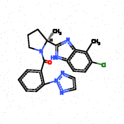 Cc1c(Cl)ccc2[nH]c([C@]3(C)CCCN3C(=O)c3ccccc3-n3nccn3)nc12